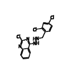 Clc1ccc(CNNc2nc(Cl)nc3ccccc23)c(Cl)c1